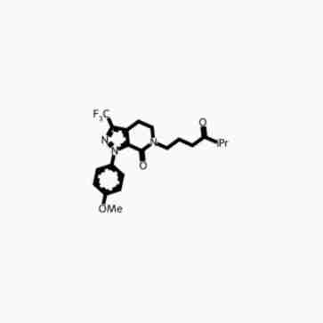 COc1ccc(-n2nc(C(F)(F)F)c3c2C(=O)N(CCCC(=O)C(C)C)CC3)cc1